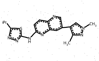 Cc1nn(C)cc1-c1cnc2ccc(Nc3nnc(C(C)C)s3)nc2c1